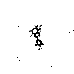 COc1c(C)cc(-c2ccc3c(c2)C(=O)NC[C@H]2CN(C)C[C@H]32)cc1C